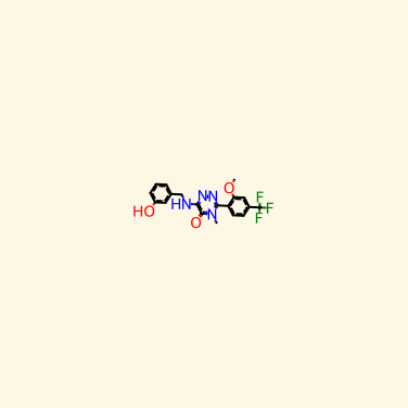 COc1cc(C(F)(F)F)ccc1-c1nnc(NCc2cccc(O)c2)c(=O)n1C